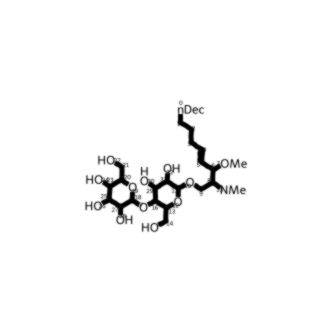 CCCCCCCCCCCCC/C=C/C(OC)C(COC1OC(CO)C(OC2OC(CO)C(O)C(O)C2O)C(O)C1O)NC